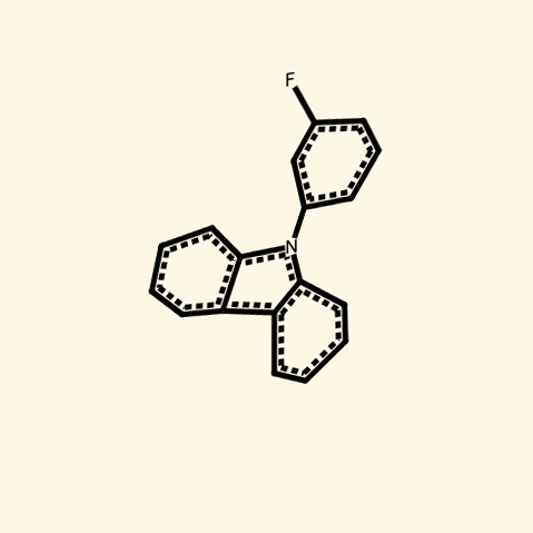 Fc1cccc(-n2c3ccccc3c3ccccc32)c1